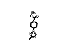 Cc1nnn(C2CCN(C(=O)OC(C)(C)C)CC2)n1